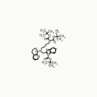 CC(C)(C)OC(=O)N(CCCCN(Cc1nc2ccccc2n1C(=O)OC(C)(C)C)[C@H]1CCCc2cccnc21)C(=O)OC(C)(C)C